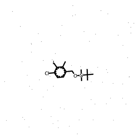 Cc1c(CO[Si](C)(C)C(C)(C)C)ccc(Cl)c1I